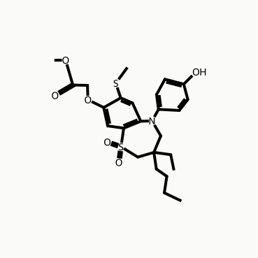 CCCCC1(CC)CN(c2ccc(O)cc2)c2cc(SC)c(OCC(=O)OC)cc2S(=O)(=O)C1